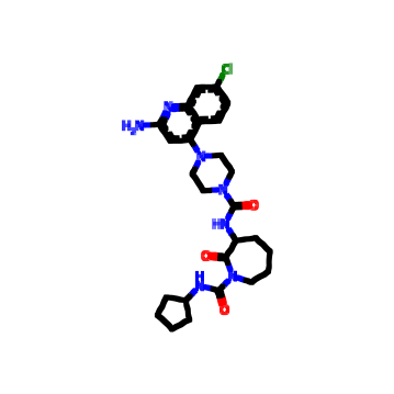 Nc1cc(N2CCN(C(=O)NC3CCCCN(C(=O)NC4CCCC4)C3=O)CC2)c2ccc(Cl)cc2n1